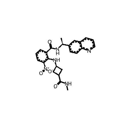 CNC(=O)C1CC(Nc2c(C(=O)N[C@@H](C)c3ccc4ncccc4c3)cccc2[N+](=O)[O-])C1